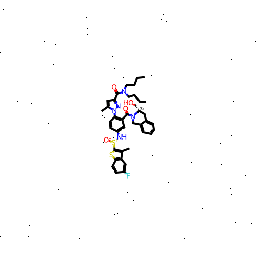 CCCCN(CCCC)C(=O)c1cc(C)n(-c2ccc(N[S+]([O-])c3sc4ccc(F)cc4c3C)cc2C(=O)N2Cc3ccccc3C[C@H]2CO)n1